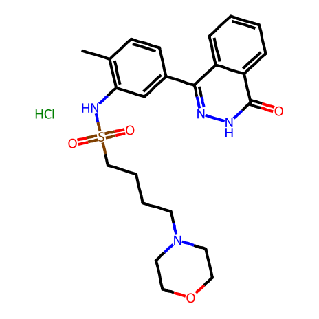 Cc1ccc(-c2n[nH]c(=O)c3ccccc23)cc1NS(=O)(=O)CCCCN1CCOCC1.Cl